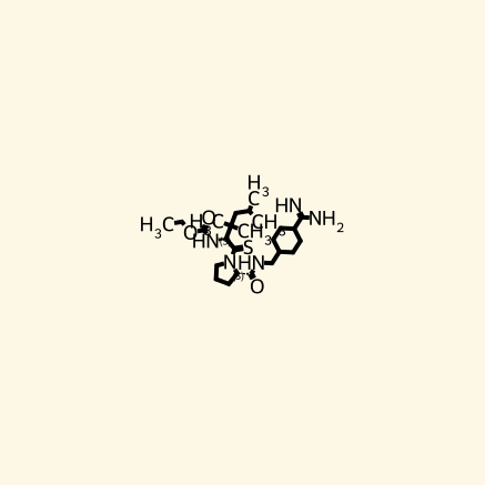 CCOC(=O)N[C@H](C(=S)N1CCC[C@H]1C(=O)NCC1CCC(C(=N)N)CC1)C(C)(C)CC(C)C